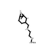 CCCCCCOCCOCC1CCC2OC2(C)C1